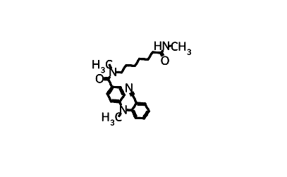 CNC(=O)CCCCCCN(C)C(=O)c1ccc(N(C)c2ccccc2C#N)cc1